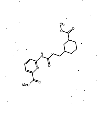 COC(=O)c1cccc(NC(=O)CCC2CCCN(C(=O)OC(C)(C)C)C2)n1